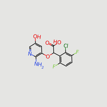 Nc1ncc(O)cc1OC(C(=O)O)c1c(F)ccc(F)c1Cl